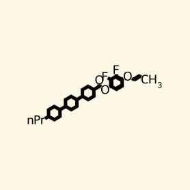 C/C=C/Oc1ccc(OC(=O)C2CCC(C3CCC(C4CCC(CCC)CC4)CC3)CC2)c(F)c1F